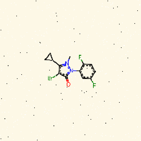 Cn1c(C2CC2)c(Br)c(=O)n1-c1cc(F)ccc1F